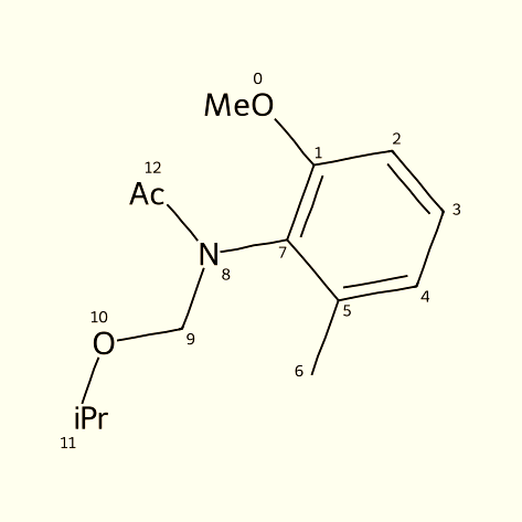 COc1cccc(C)c1N(COC(C)C)C(C)=O